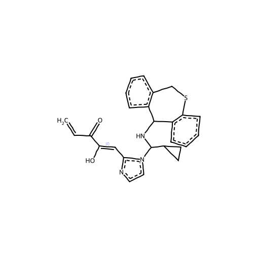 C=CC(=O)/C(O)=C/c1nccn1C(NC1c2ccccc2CSc2ccccc21)C1CC1